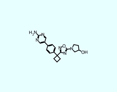 Nc1ncc(-c2ccc(C3(c4noc(N5CCC(O)C5)n4)CCC3)cc2)cn1